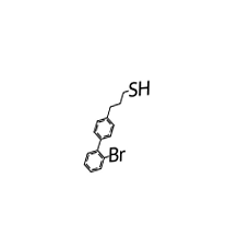 SCCCc1ccc(-c2ccccc2Br)cc1